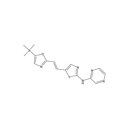 C[Si](C)(C)c1cnc(C=Cc2cnc(Nc3cnccn3)s2)o1